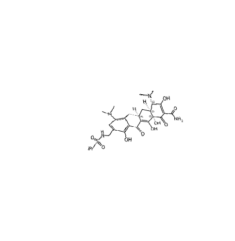 CC(C)S(=O)(=O)NCc1cc(N(C)C)c2c(c1O)C(=O)C1=C(O)[C@]3(O)C(=O)C(C(N)=O)=C(O)[C@@H](N(C)C)[C@@H]3C[C@@H]1C2